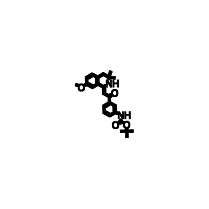 COc1ccc2c(c1)/C(=C/C(=O)c1cccc(NC(=O)OC(C)(C)C)c1)NC(C)(C)C2